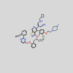 COc1ccccc1-c1nccc(COc2ccccc2CC(Oc2nsc3cnc(/C(C=N)=C/NCC4CCC4)c(-c4ccc(OCCN5CCN(C)CC5)c(Cl)c4C)c23)C(=O)O)n1